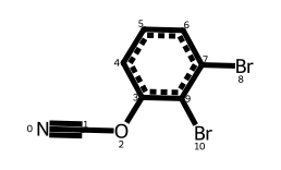 N#COc1cccc(Br)c1Br